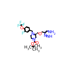 CC(C)(C)OC(=O)N1CCN(Cc2ccc(OC(F)(F)F)c(F)c2)[C@@H](COC/C(=C/N)N=N)C1